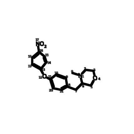 CN1CCOCC1Cc1ccc(Oc2ccc([N+](=O)[O-])cc2)cc1